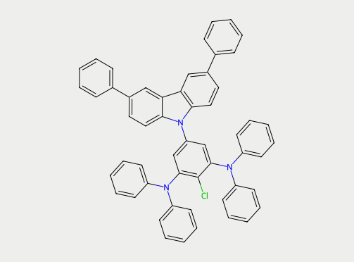 Clc1c(N(c2ccccc2)c2ccccc2)cc(-n2c3ccc(-c4ccccc4)cc3c3cc(-c4ccccc4)ccc32)cc1N(c1ccccc1)c1ccccc1